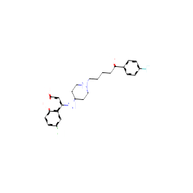 O=C(CCCCN1CCC(Nc2cc(=O)oc3ccc(Cl)cc23)CC1)c1ccc(F)cc1